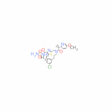 COc1ccc(C2(C(=O)N(CCCc3cccc(Cl)c3)Cc3nc(C(=O)NS(N)(=O)=O)c(C)s3)CC2)nc1